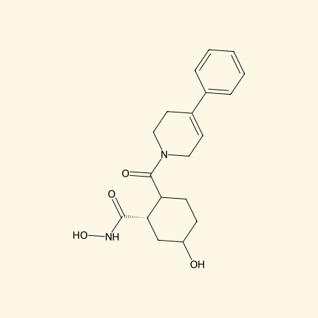 O=C(NO)[C@H]1CC(O)CCC1C(=O)N1CC=C(c2ccccc2)CC1